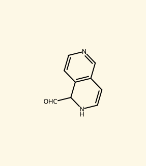 O=CC1NC=Cc2cnccc21